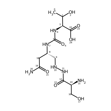 CC(O)[C@H](NC(=O)N[C@H](CNNC(=O)[C@@H](N)CO)CC(N)=O)C(=O)O